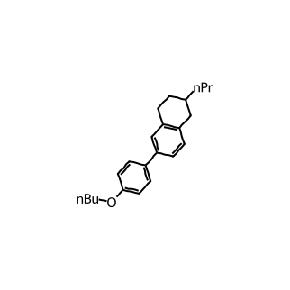 CCCCOc1ccc(-c2ccc3c(c2)CCC(CCC)C3)cc1